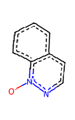 [O-][n+]1nccc2ccccc21